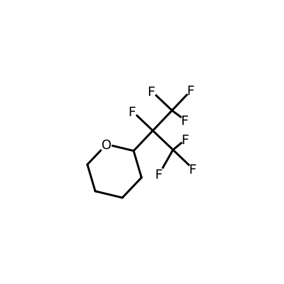 FC(F)(F)C(F)(C1CCCCO1)C(F)(F)F